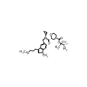 COCCCc1cn(C)c2ccc(CN(C(=O)[C@H]3CN(C(=O)OC(C)(C)C)CCO3)C3CC3)cc12